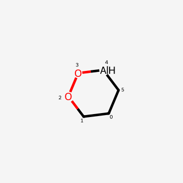 C1CO[O][AlH][CH2]1